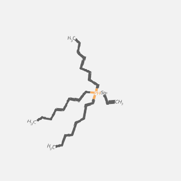 C=[CH][Sn][PH](CCCCCCCC)(CCCCCCCC)CCCCCCCC